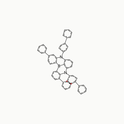 c1ccc(-c2ccc(N3c4cc(-c5ccccc5)ccc4B4c5cccc(-c6ccccc6)c5N(c5ccc(-c6ccccc6)cc5)c5cccc3c54)cc2)cc1